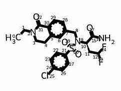 CCN1CCc2cc(CN([C@H](CC(F)F)C(N)=O)S(=O)(=O)c3ccc(Cl)cc3)ccc2C1=O